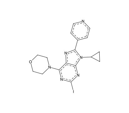 Ic1nc(N2CCOCC2)c2nc(-c3ccncc3)n(C3CC3)c2n1